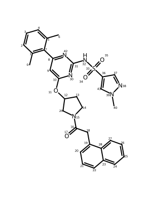 Cc1cccc(C)c1-c1cc(OC2CCN(C(=O)Cc3cccc4ccccc34)C2)nc(NS(=O)(=O)c2cnn(C)c2)n1